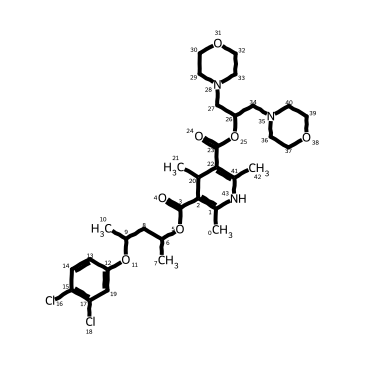 CC1=C(C(=O)OC(C)CC(C)Oc2ccc(Cl)c(Cl)c2)C(C)C(C(=O)OC(CN2CCOCC2)CN2CCOCC2)=C(C)N1